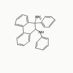 NC1(c2ccccc2)c2ccccc2-c2ccccc2C1Nc1ccccc1